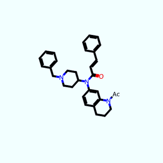 CC(=O)N1CCCc2ccc(N(C(=O)C=Cc3ccccc3)C3CCN(Cc4ccccc4)CC3)cc21